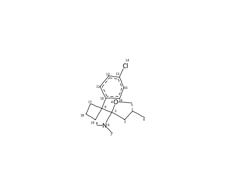 CCCC(OC)(N(C)C)C1(c2ccc(Cl)cc2)CCC1